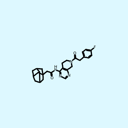 O=C(CC12CC3CC(CC(C3)C1)C2)Nc1ncnc2c1CCN(C(=O)Cc1ccc(F)cc1)C2